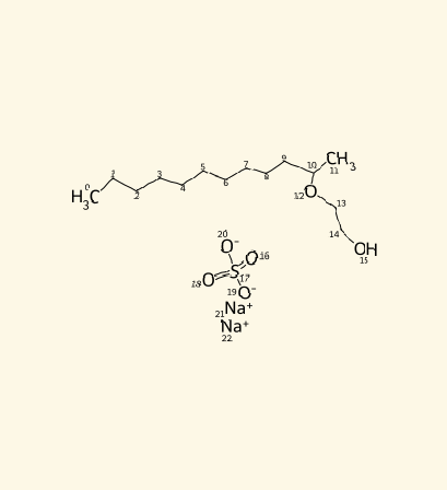 CCCCCCCCCCC(C)OCCO.O=S(=O)([O-])[O-].[Na+].[Na+]